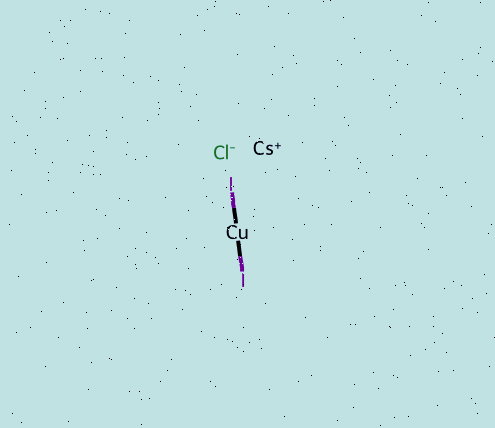 [Cl-].[Cs+].[I][Cu][I]